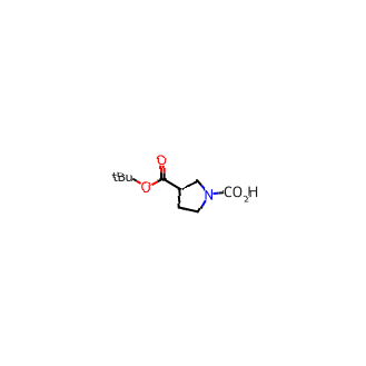 CC(C)(C)OC(=O)C1CCN(C(=O)O)C1